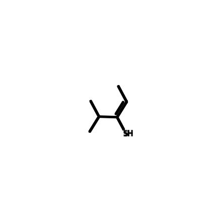 C/C=C(/S)C(C)C